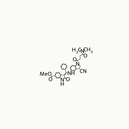 COC(=O)c1ccc2c(c1)NC(=O)/C2=C(\Nc1ccc2c(c1)C(C#N)CN2C(=O)CCC(=O)N(C)C)c1ccccc1